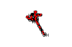 O=C(O)CCOCCOCCOCCOCCOCCOCCNC(=O)COc1cc(C(=O)N2C[C@@H](C(=O)N[C@H]3C[C@@H]3c3ccccc3)[C@H](C(=O)N[C@H]3C[C@@H]3c3ccccc3)C2)ccc1C(=O)N1C[C@@H](C(=O)N[C@H]2C[C@@H]2c2ccccc2)[C@H](C(=O)N[C@H]2C[C@@H]2c2ccccc2)C1